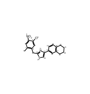 Cc1cc([N+](=O)[O-])c(Cl)cc1Cc1nc(-c2ccc3c(c2)CCCC3)cs1